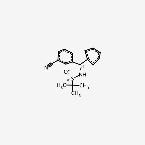 CC(C)(C)[S@+]([O-])N[C@@H](c1ccccc1)c1cccc(C#N)c1